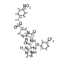 NC1(C(=NOc2cccc(C(F)(F)F)c2)C(=O)NC2C(=O)N3C=C(C(=O)OCc4ccc([N+](=O)[O-])cc4)CS[C@H]23)N=CSN1